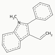 C=Cc1c(-c2ccccc2)n(C)c2ccccc12